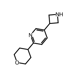 c1cc(C2CCOCC2)ncc1C1CNC1